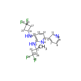 CC1(Nc2nc(-c3cccnc3)ccc2NC2CC(F)(F)C2)CC(F)(F)C1